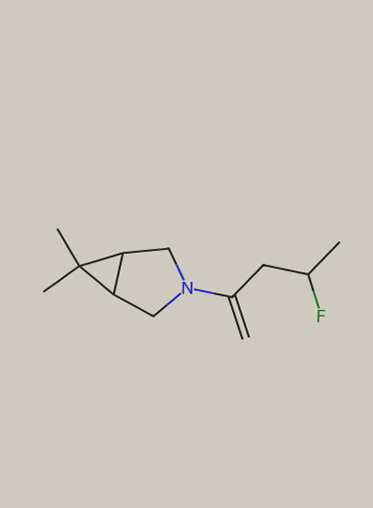 C=C(CC(C)F)N1CC2C(C1)C2(C)C